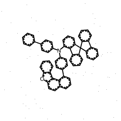 c1ccc(-c2ccc(N(c3ccc(-c4cccc5ccc6oc7ccccc7c6c45)cc3)c3cccc4c3-c3ccccc3C43c4ccccc4-c4ccccc43)cc2)cc1